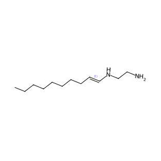 CCCCCCCC/C=C/NCCN